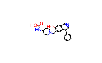 O=C(O)NC1CCN(Cc2cc3c(-c4ccccc4)cncc3cc2O)CC1